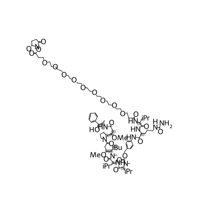 CC[C@H](C)[C@@H]([C@@H](CC(=O)N1CCC[C@H]1[C@H](OC)[C@@H](C)C(=O)N[C@H](C)[C@@H](O)c1ccccc1)OC)N(C)C(=O)[C@@H](NC(=O)[C@H](C(C)C)N(C)C(=O)OCc1ccc(NC(=O)[C@H](CCCNC(N)=O)NC(=O)[C@@H](NC(=O)CCOCCOCCOCCOCCOCCOCCOCCOCCOCCC(=O)ON2C(=O)CCC2=O)C(C)C)cc1)C(C)C